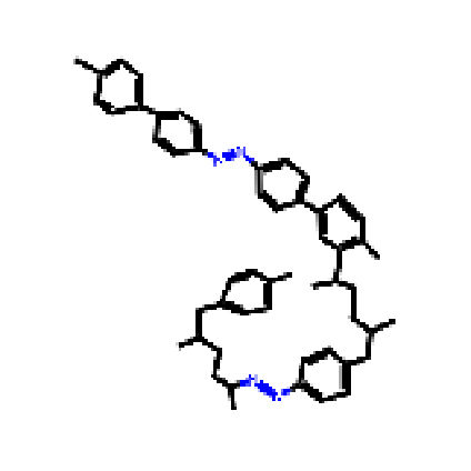 Cc1ccc(CC(C)CCC(C)N=Nc2ccc(CC(C)CCC(C)c3cc(-c4ccc(N=Nc5ccc(-c6ccc(C)cc6)cc5)cc4)ccc3C)cc2)cc1